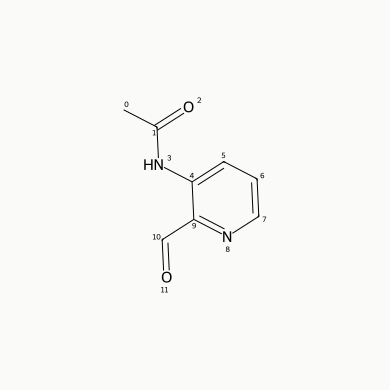 CC(=O)Nc1cccnc1C=O